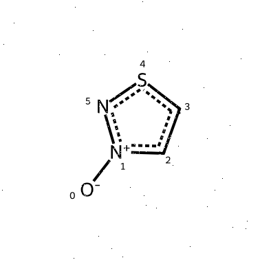 [O-][n+]1c[c]sn1